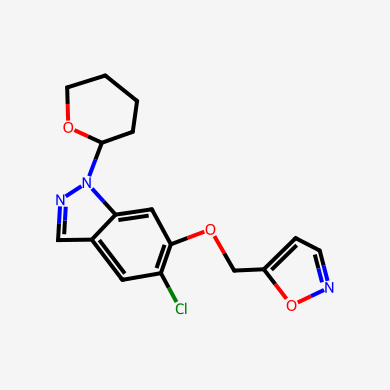 Clc1cc2cnn(C3CCCCO3)c2cc1OCc1ccno1